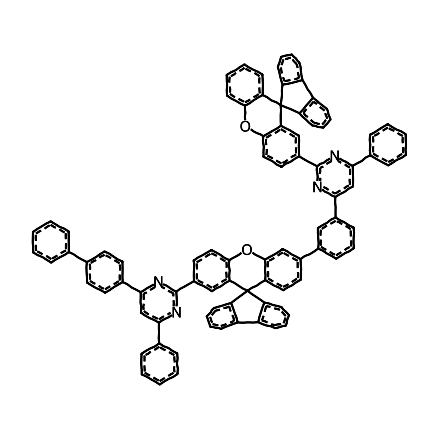 c1ccc(-c2ccc(-c3cc(-c4ccccc4)nc(-c4ccc5c(c4)C4(c6ccc(-c7cccc(-c8cc(-c9ccccc9)nc(-c9ccc%10c(c9)C9(c%11ccccc%11O%10)c%10ccccc%10-c%10ccccc%109)n8)c7)cc6O5)c5ccccc5-c5ccccc54)n3)cc2)cc1